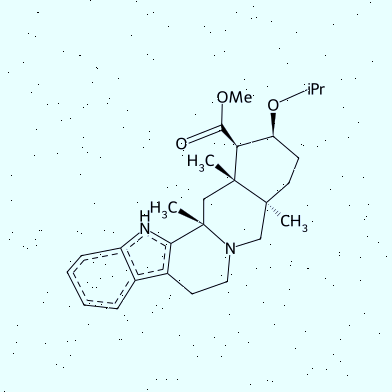 COC(=O)[C@H]1[C@@H](OC(C)C)CC[C@@]2(C)CN3CCc4c([nH]c5ccccc45)[C@]3(C)C[C@]12C